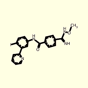 CONC(=N)c1ccc(C(=O)Nc2ccc(I)c(-c3ccccn3)c2)cc1